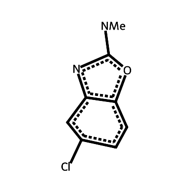 CNc1nc2cc(Cl)ccc2o1